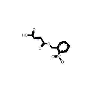 O=C(O)/C=C/C(=O)OCc1ccccc1[N+](=O)[O-]